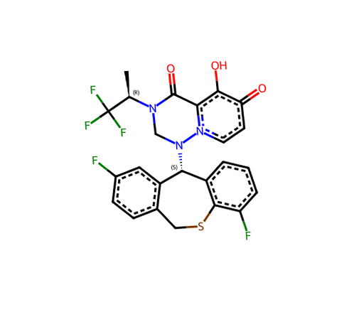 C[C@@H](N1CN([C@H]2c3cc(F)ccc3CSc3c(F)cccc32)n2ccc(=O)c(O)c2C1=O)C(F)(F)F